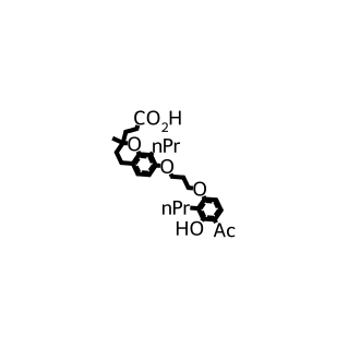 CCCc1c(OCCCOc2ccc3c(c2CCC)OC(C)(CCC(=O)O)CC3)ccc(C(C)=O)c1O